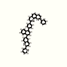 c1ccc(-c2ccc3ccc4ccc(-c5ccc(-c6ccc(-c7ccc8nc(-c9ccccn9)ccc8c7)c7ccccc67)cc5)nc4c3n2)cc1